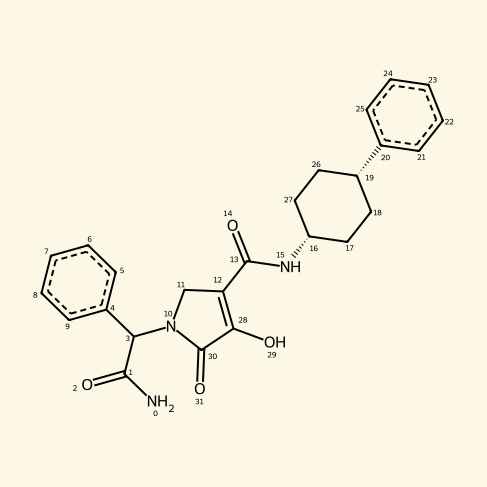 NC(=O)C(c1ccccc1)N1CC(C(=O)N[C@H]2CC[C@@H](c3ccccc3)CC2)=C(O)C1=O